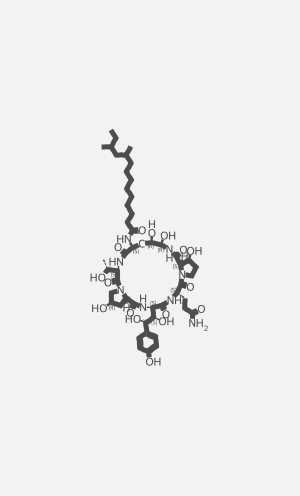 CCC(C)CC(C)CCCCCCCCC(=O)N[C@H]1C[C@@H](O)[C@@H](O)NC(=O)[C@@H]2[C@@H](O)CCN2C(=O)[C@H](CCC(N)=O)NC(=O)[C@H]([C@H](O)[C@@H](O)c2ccc(O)cc2)NC(=O)[C@@H]2C[C@@H](O)CN2C(=O)[C@H]([C@@H](C)O)NC1=O